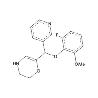 COc1cccc(F)c1OC(C1=CNCCO1)c1cccnc1